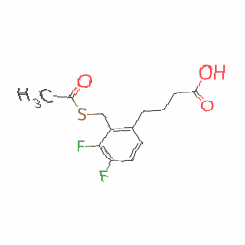 CC(=O)SCc1c(CCCC(=O)O)ccc(F)c1F